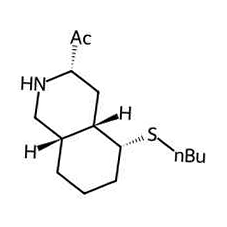 CCCCS[C@@H]1CCC[C@@H]2CN[C@H](C(C)=O)C[C@@H]21